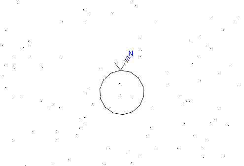 CC1(C#N)CCCCCCCCCCCCC1